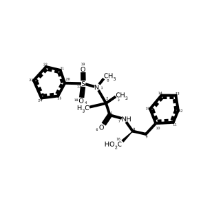 CN(C(C)(C)C(=O)N[C@@H](Cc1ccccc1)C(=O)O)S(=O)(=O)c1ccccc1